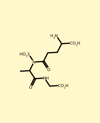 CC(C(=O)NCC(=O)O)N(C(=O)CCC(N)C(=O)O)S(=O)(=O)O